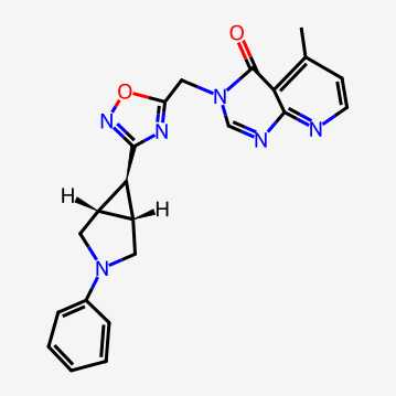 Cc1ccnc2ncn(Cc3nc([C@H]4[C@@H]5CN(c6ccccc6)C[C@@H]54)no3)c(=O)c12